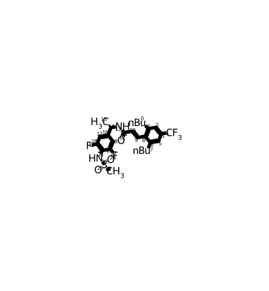 CCCCc1cc(C(F)(F)F)cc(CCCC)c1C=CC(=O)N[C@H](C)c1cc(F)c(NS(C)(=O)=O)c(F)c1